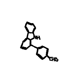 O=[C]c1ccc(-c2cccc3c2[nH]c2ccccc23)cc1